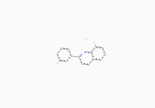 COc1cccc2ccc(-c3cccc(C(F)(F)F)c3)nc12